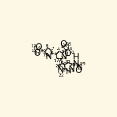 CO[C@@]1(c2cc(-c3ccc(C4OCCO4)cn3)cc(-c3cn(C)c4cnc(NC(C)=O)cc34)n2)CCOC1